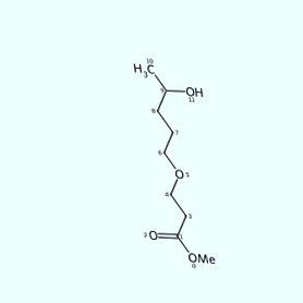 COC(=O)CCOCCCC(C)O